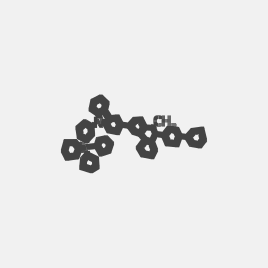 CC1c2ccc(-c3ccc4c(c3)c3ccccc3n4-c3cccc([Si](c4ccccc4)(c4ccccc4)c4ccccc4)c3)cc2-c2ccccc2C1c1ccc(-c2ccccc2)cc1